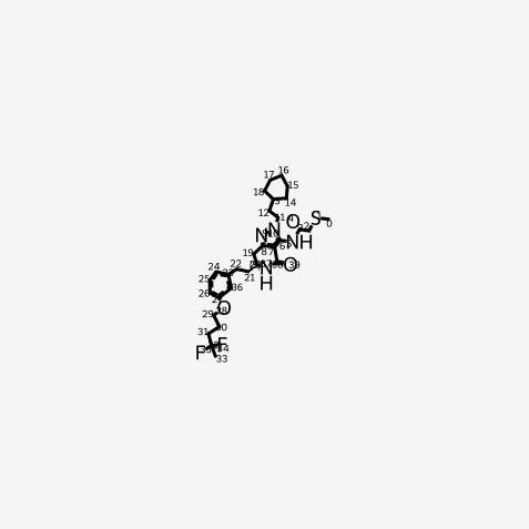 CSCC(=O)Nc1c2c(nn1CCC1CCCCC1)C[C@H](CCc1cccc(OCCCC(C)(F)F)c1)NC2=O